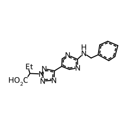 CCC(C(=O)O)n1nnc(-c2cnc(NCc3ccccc3)nc2)n1